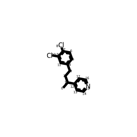 CC(CCc1ccc(Cl)c(Cl)c1)c1ccncc1